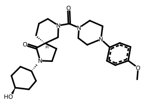 COc1ccc(N2CCN(C(=O)N3CCC[C@@]4(CCN([C@H]5CC[C@H](O)CC5)C4=O)C3)CC2)cc1